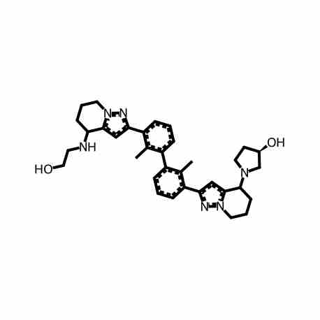 Cc1c(-c2cc3n(n2)CCCC3NCCO)cccc1-c1cccc(-c2cc3n(n2)CCCC3N2CC[C@@H](O)C2)c1C